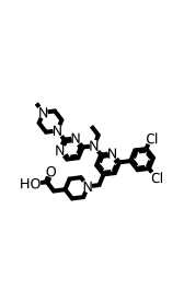 CCN(c1cc(CN2CCC(CC(=O)O)CC2)cc(-c2cc(Cl)cc(Cl)c2)n1)c1ccnc(N2CCN(C)CC2)n1